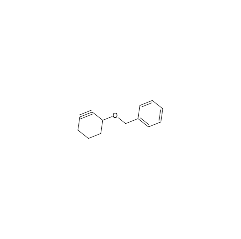 C1#CC(OCc2ccccc2)CCC1